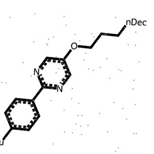 CCCCCCCCCCCCCOc1cnc(-c2ccc(CCCC)cc2)nc1